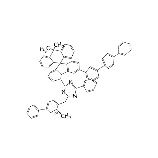 C[C@H]1CC(c2ccccc2)=CC=C1Cc1nc(-c2ccccc2)nc(C2C=CC=C3C2c2cc(-c4cccc(-c5ccc(-c6ccccc6)cc5)c4)ccc2C32c3ccccc3C(C)(C)c3ccccc32)n1